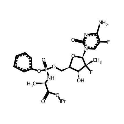 CC(C)OC(=O)[C@@H](C)NP(=O)(OC[C@H]1O[C@@H](n2cc(F)c(N)nc2=O)[C@](C)(F)[C@@H]1O)Oc1ccccc1